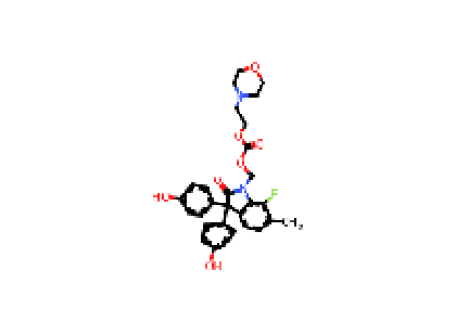 Cc1ccc2c(c1F)N(COC(=O)OCCN1CCOCC1)C(=O)C2(c1ccc(O)cc1)c1ccc(O)cc1